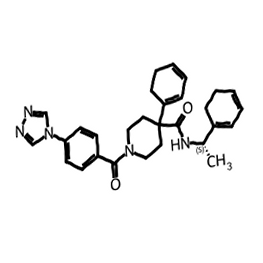 C[C@H](NC(=O)C1(C2=CC=CCC2)CCN(C(=O)c2ccc(-n3cnnc3)cc2)CC1)C1=CC=CCC1